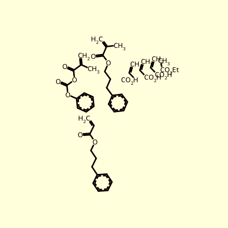 C=C(C)C(=O)OC(=O)Oc1ccccc1.C=C(C)C(=O)OCCCc1ccccc1.C=CC(=O)O.C=CC(=O)O.C=CC(=O)O.C=CC(=O)OCCCc1ccccc1.CCOC(C)=O